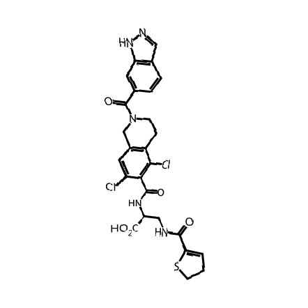 O=C(NC[C@H](NC(=O)c1c(Cl)cc2c(c1Cl)CCN(C(=O)c1ccc3cn[nH]c3c1)C2)C(=O)O)C1=CCCS1